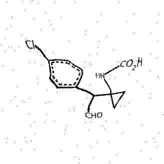 O=CC(c1ccc(Cl)cc1)C1(NC(=O)O)CC1